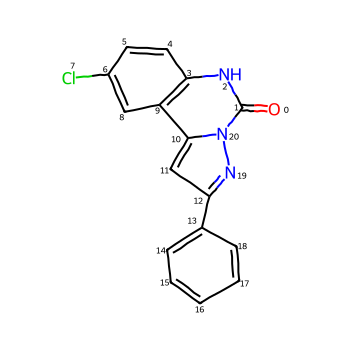 O=c1[nH]c2ccc(Cl)cc2c2cc(-c3ccccc3)nn12